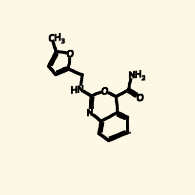 Cc1ccc(CNC2=Nc3cc[c]cc3C(C(N)=O)O2)o1